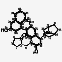 CN1CCC[C@H]1Cn1c(=O)nc(N2CC3CCC(C2)N3)c2cc(F)c(-c3cc(O)cc4cccc(Cl)c34)nc21